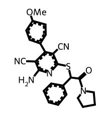 COc1ccc(-c2c(C#N)c(N)nc(SC(C(=O)N3CCCC3)c3ccccc3)c2C#N)cc1